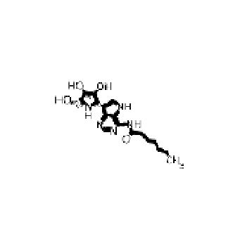 CCCCCCC(=O)Nc1ncnc2c([C@@H]3N[C@H](CO)[C@@H](O)[C@H]3O)c[nH]c12